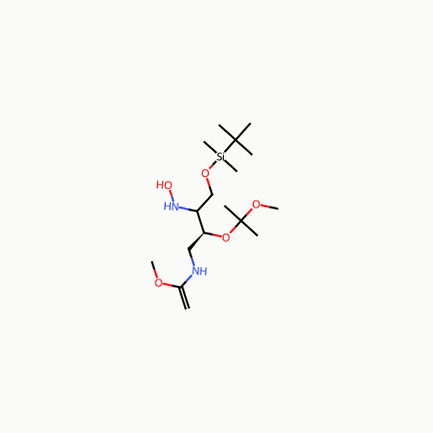 C=C(NC[C@H](OC(C)(C)OC)C(CO[Si](C)(C)C(C)(C)C)NO)OC